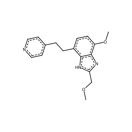 COCc1nc2c(OC)ccc(CCc3ccncc3)c2[nH]1